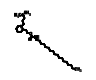 CCCCCCCCCCCCCCCCCCNC(=O)OCCC1CCCCN1CCCN(C)C